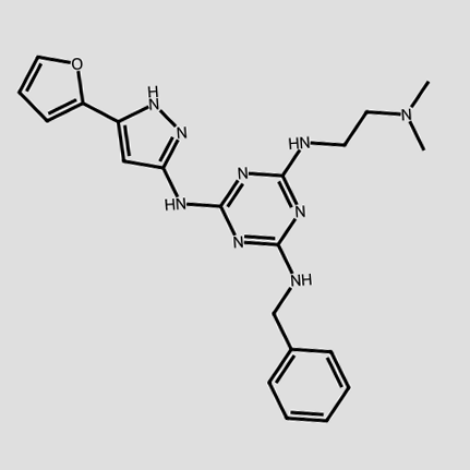 CN(C)CCNc1nc(NCc2ccccc2)nc(Nc2cc(-c3ccco3)[nH]n2)n1